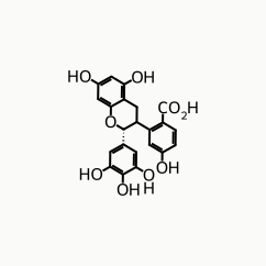 O=C(O)c1ccc(O)cc1C1Cc2c(O)cc(O)cc2O[C@H]1c1cc(O)c(O)c(O)c1